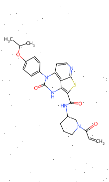 C=CC(=O)N1CCCC(NC(=O)c2sc3nccc4c3c2NC(=O)N4c2ccc(OC(C)C)cc2)C1